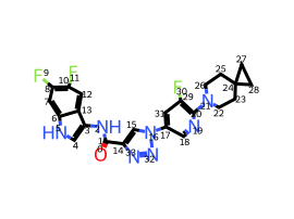 O=C(Nc1c[nH]c2cc(F)c(F)cc12)c1cn(-c2cnc(N3CCC4(CC3)CC4)c(F)c2)nn1